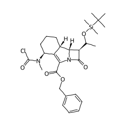 CC(O[Si](C)(C)C(C)(C)C)[C@H]1C(=O)N2C(C(=O)OCc3ccccc3)=C3[C@H](CCC[C@@H]3N(C)C(=O)Cl)[C@H]12